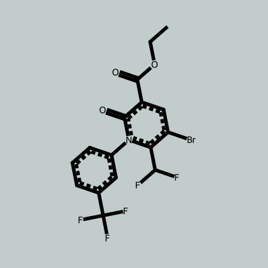 CCOC(=O)c1cc(Br)c(C(F)F)n(-c2cccc(C(F)(F)F)c2)c1=O